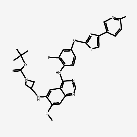 COc1cc2ncnc(Nc3ccc(Oc4nc(-c5ccc(C)nc5)cs4)cc3F)c2cc1NC1CN(C(=O)OC(C)(C)C)C1